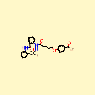 CCC(=O)c1ccc(OCCCCC(=O)Nc2ccccc2C(=O)Nc2ccccc2C(=O)O)cc1